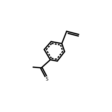 C=Cc1ccc(C(C)=S)cc1